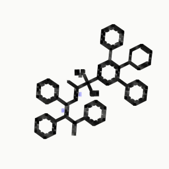 C=C(/C(=C(\C=C(/C)C(O)(P)c1cc(-c2ccccc2)c(C2C=CC=CC2)c(-c2ccccc2)c1)c1ccccc1)c1ccccc1)c1ccccc1